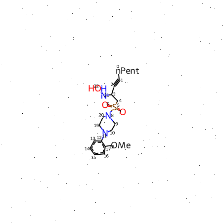 CCCCCC#CC(CS(=O)(=O)N1CCN(c2ccccc2OC)CC1)NO